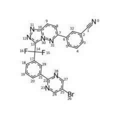 N#Cc1cccc(-c2ccc3nnc(C(F)(F)c4cccc(-c5ncc(Br)cn5)c4)n3n2)c1